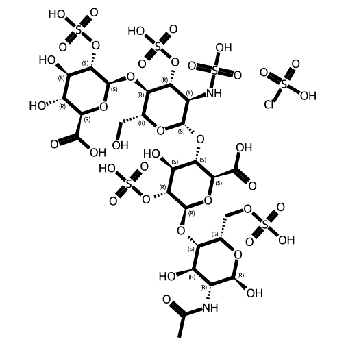 CC(=O)N[C@@H]1[C@@H](O)[C@H](O[C@@H]2O[C@H](C(=O)O)[C@@H](O[C@@H]3O[C@H](CO)[C@@H](O[C@H]4O[C@@H](C(=O)O)[C@H](O)[C@@H](O)[C@@H]4OS(=O)(=O)O)[C@H](OS(=O)(=O)O)[C@H]3NS(=O)(=O)O)[C@H](O)[C@H]2OS(=O)(=O)O)[C@H](COS(=O)(=O)O)O[C@H]1O.O=S(=O)(O)Cl